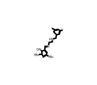 CC(C)(C)C1=CC(C(C)(C)C)C(N=O)C(/C=N/CCNCC2C=C(I)C=C(I)C2)=C1